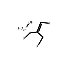 FC=C(CF)CF.O=C(O)O